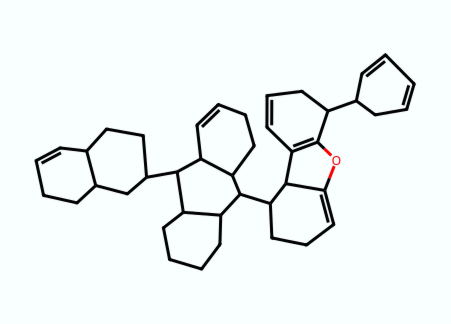 C1=CCC(C2CC=CC3=C2OC2=CCCC(C4C5CCC=CC5C(C5CCC6C=CCCC6C5)C5CCCCC54)C23)C=C1